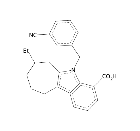 CCC1CCCc2c(n(Cc3cccc(C#N)c3)c3c(C(=O)O)cccc23)C1